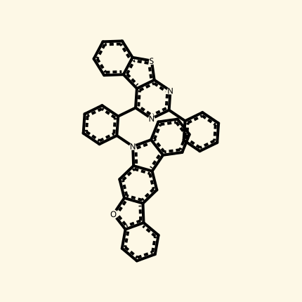 c1ccc(-c2nc(-c3ccccc3-n3c4ccccc4c4cc5c(cc43)oc3ccccc35)c3c(n2)sc2ccccc23)cc1